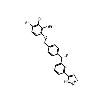 CCCc1c(OCc2ccc([C@H](F)c3cccc(-c4nnn[nH]4)c3)cc2)ccc(C(C)=O)c1O